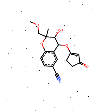 COCC1(C)Oc2ccc(C#N)cc2C(OC2=CC(=O)CC2)C1O